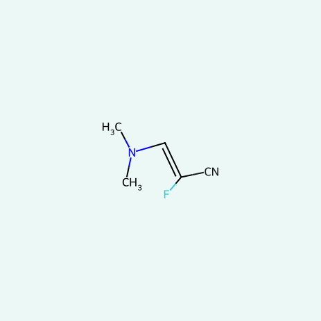 CN(C)C=C(F)C#N